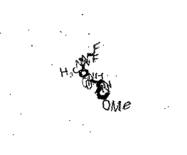 COc1ccc2c(C(=O)Nc3cc(-c4ncn(CC(F)F)n4)c(C)cc3C)cnn2c1